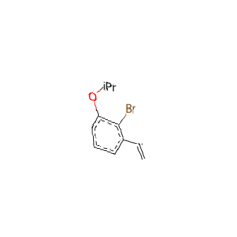 C=[C]c1cccc(OC(C)C)c1Br